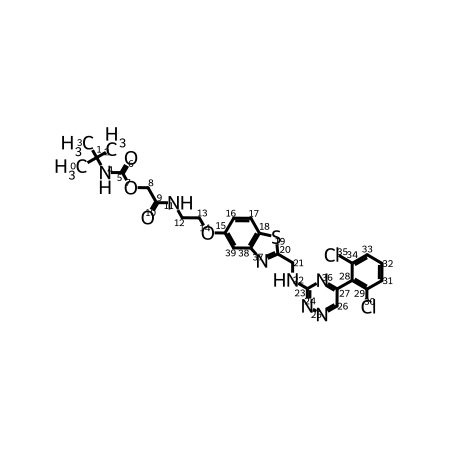 CC(C)(C)NC(=O)OCC(=O)NCCOc1ccc2sc(CNc3nncc(-c4c(Cl)cccc4Cl)n3)nc2c1